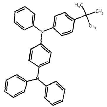 CC(C)(C)c1ccc(N(c2ccccc2)c2ccc(N(c3ccccc3)c3ccccc3)cc2)cc1